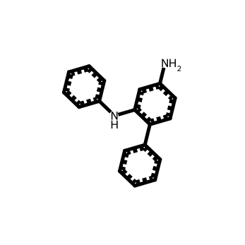 Nc1ccc(-c2ccccc2)c(Nc2ccccc2)c1